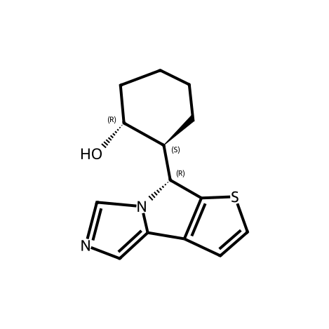 O[C@@H]1CCCC[C@H]1[C@@H]1c2sccc2-c2cncn21